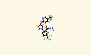 NC(=O)c1cc(C(F)(F)F)ccc1N1CCC(Oc2ccc(C(F)(F)F)cn2)C1